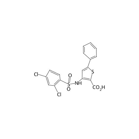 O=C(O)c1sc(-c2ccccc2)cc1NS(=O)(=O)c1ccc(Cl)cc1Cl